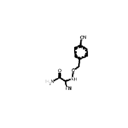 N#Cc1ccc(CONC(C#N)C(N)=O)cc1